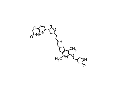 Cc1nc(OCC2CNC(=O)C2)c(C)c2c1CC(CNCCC1CN(c3ccc4c(n3)NC(=O)CO4)C(=O)O1)C2